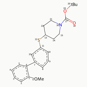 COc1ccccc1-c1cccc(SC2CCN(C(=O)OC(C)(C)C)CC2)c1